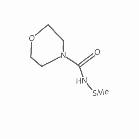 CSNC(=O)N1CCOCC1